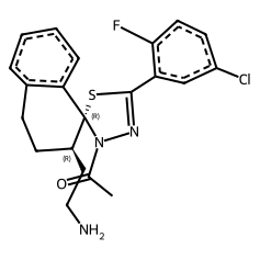 CC(=O)N1N=C(c2cc(Cl)ccc2F)S[C@]12c1ccccc1CC[C@@H]2CCN